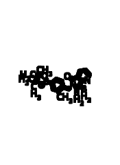 BC1(B)c2ncccc2C(=O)N1Cc1ccc(B2OC(C)(C)C(C)(C)O2)cc1C